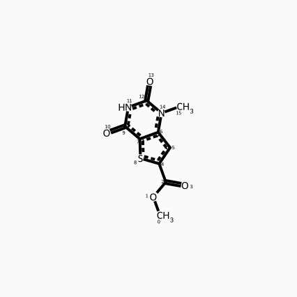 COC(=O)c1cc2c(s1)c(=O)[nH]c(=O)n2C